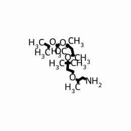 CC(C)OC(=O)OC(C)(C)CC(C)OC(C)(C)CCOC(C)CN